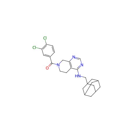 O=C(c1ccc(Cl)c(Cl)c1)N1CCc2c(ncnc2NCC23CC4CC(CC(C4)C2)C3)C1